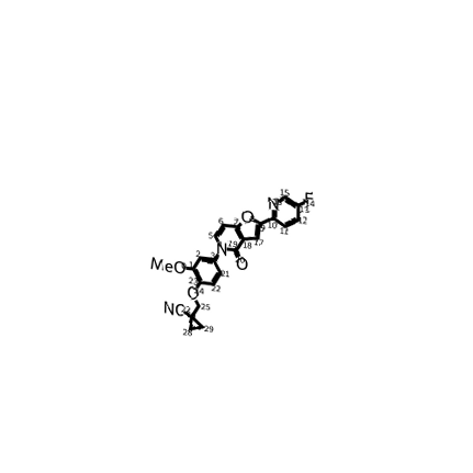 COc1cc(-n2ccc3oc(-c4ccc(F)cn4)cc3c2=O)ccc1OCC1(C#N)CC1